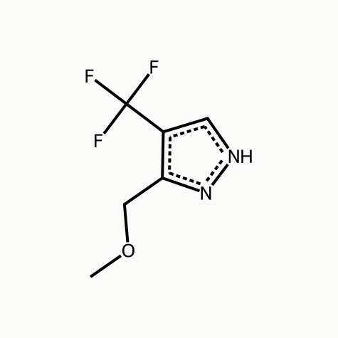 COCc1n[nH]cc1C(F)(F)F